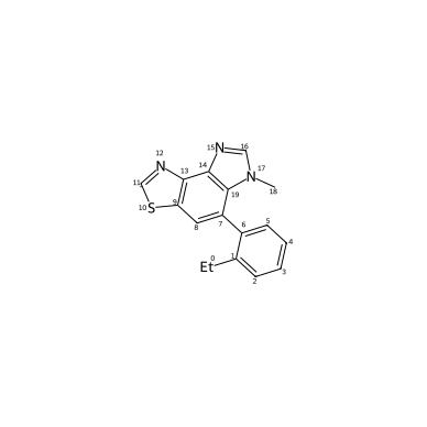 CCc1ccccc1-c1cc2s[c]nc2c2ncn(C)c12